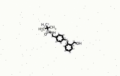 CC(C)(C)[S+]([O-])NCc1ccc(Sc2ccccc2CO)cc1